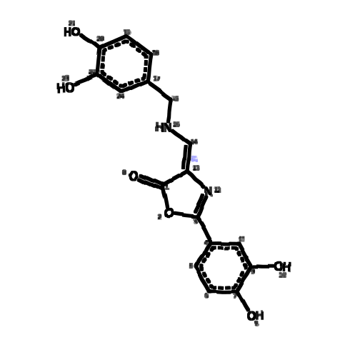 O=C1OC(c2ccc(O)c(O)c2)=N/C1=C/NCc1ccc(O)c(O)c1